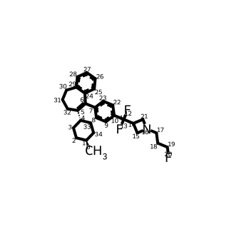 C[C@H]1CC[C@H](C2=C(c3ccc(C(F)(F)C4CN(CCCF)C4)cc3)c3ccccc3CCC2)CC1